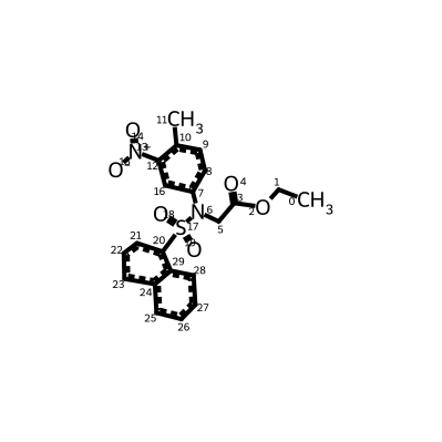 CCOC(=O)CN(c1ccc(C)c([N+](=O)[O-])c1)S(=O)(=O)c1cccc2ccccc12